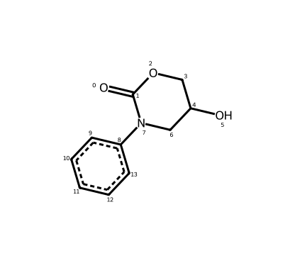 O=C1OCC(O)CN1c1ccccc1